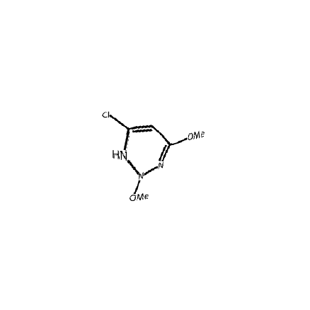 COC1=NN(OC)NC(Cl)=C1